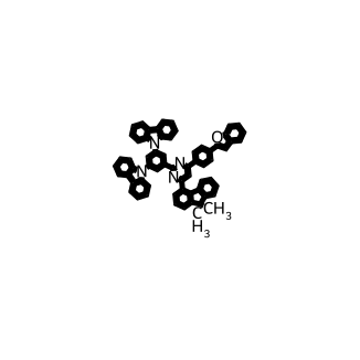 CC1(C)c2ccccc2-c2c(-c3cc(-c4ccc(-c5cc6ccccc6o5)cc4)nc(-c4cc(-n5c6ccccc6c6ccccc65)cc(-n5c6ccccc6c6ccccc65)c4)n3)cccc21